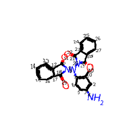 Cc1cc(N)ccc1N(N1C(=O)c2ccccc2C1=O)N1C(=O)c2ccccc2C1=O